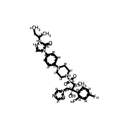 CCC(C)n1ncn(-c2ccc(N3CCN(S(=O)(=O)[C@H](C)[C@](O)(Cn4cncn4)c4ccc(F)cc4F)CC3)cc2)c1=O